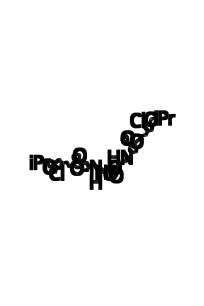 CC(C)Oc1ccc(CCCOc2ccc(CNCCCO[PH](=O)OCCCNCc3ccc(OCCCc4ccc(OC(C)C)c(Cl)c4)c(-c4ccco4)c3)cc2-c2ccco2)cc1Cl